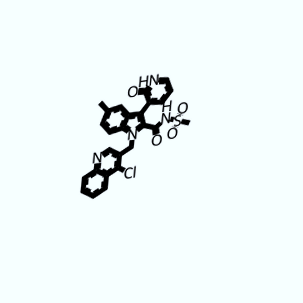 Cc1ccc2c(c1)c(-c1ccc[nH]c1=O)c(C(=O)NS(C)(=O)=O)n2Cc1cnc2ccccc2c1Cl